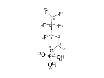 CC(CC(F)C(F)(F)C(F)F)OP(=O)(O)O